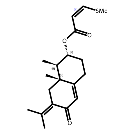 CS/C=C\C(=O)O[C@@H]1CCC2=CC(=O)C(=C(C)C)C[C@]2(C)[C@H]1C